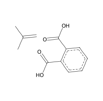 C=C(C)C.O=C(O)c1ccccc1C(=O)O